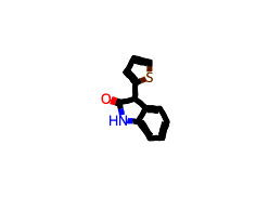 O=C1Nc2ccccc2C1c1cccs1